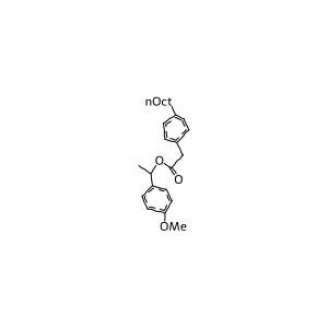 CCCCCCCCc1ccc(CC(=O)OC(C)c2ccc(OC)cc2)cc1